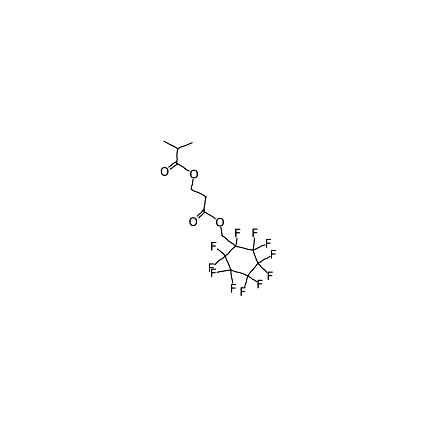 CC(C)C(=O)OCCC(=O)OCC1(F)C(F)(F)C(F)(F)C(F)(F)C(F)(F)C1(F)F